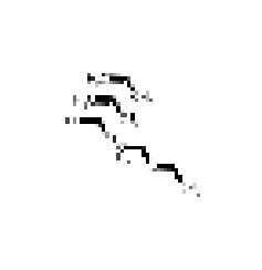 C=CC.C=CC.C=CC.CCOCC